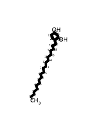 CCCCCCCCCCCCCCCCCCCC=Cc1ccc(O)cc1O